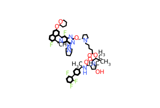 C#Cc1c(F)ccc2cc(OC3CCCCO3)cc(-c3ncc4c(N5CC6CCC(C5)N6)nc(OC[C@@H]5CCCN5CCCCC(=O)O[C@H](C(=O)N5C[C@H](O)C[C@H]5C(=O)N[C@@H](C)c5ccc(-c6c(F)ccc(F)c6F)cc5)C(C)(C)C)nc4c3F)c12